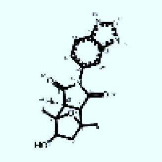 CC12CC(O)C(C)(O1)[C@H]1C(=O)N(c3ccc4nonc4c3)C(=O)C12